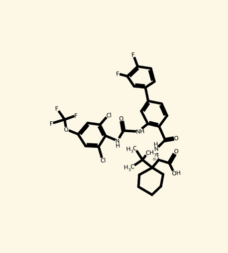 CC(C)(C)C1([C@H](NC(=O)c2ccc(-c3ccc(F)c(F)c3)cc2NC(=O)Nc2c(Cl)cc(OC(F)(F)F)cc2Cl)C(=O)O)CCCCC1